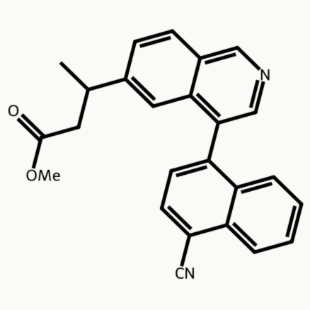 COC(=O)CC(C)c1ccc2cncc(-c3ccc(C#N)c4ccccc34)c2c1